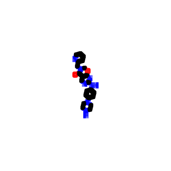 O=C1c2cnc(Nc3ccc(N4CCNCC4)cc3)nc2OCN1Cc1ccccn1